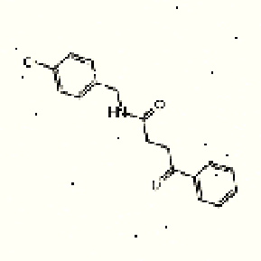 O=C(CCC(=O)c1ccccc1)NCc1ccc(Cl)cc1